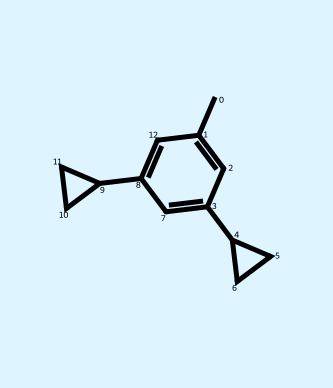 Cc1cc(C2CC2)cc(C2CC2)c1